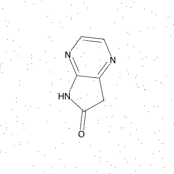 O=C1Cc2nccnc2N1